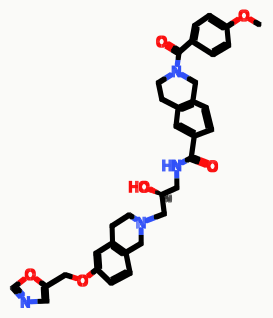 COc1ccc(C(=O)N2CCc3cc(C(=O)NC[C@H](O)CN4CCc5cc(OCc6cnco6)ccc5C4)ccc3C2)cc1